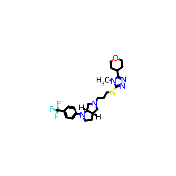 Cn1c(SCCCN2C[C@@H]3CCN(c4ccc(C(F)(F)F)cc4)[C@@H]3C2)nnc1C1CCOCC1